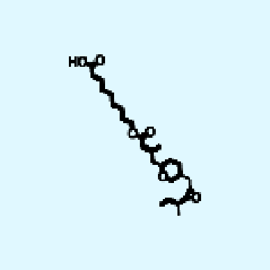 CC[C@H](C)C1O[C@H]1C[C@@H]1CC[C@H](C/C(C)=C/C(=O)OCCCCCCCCC(=O)O)OC1